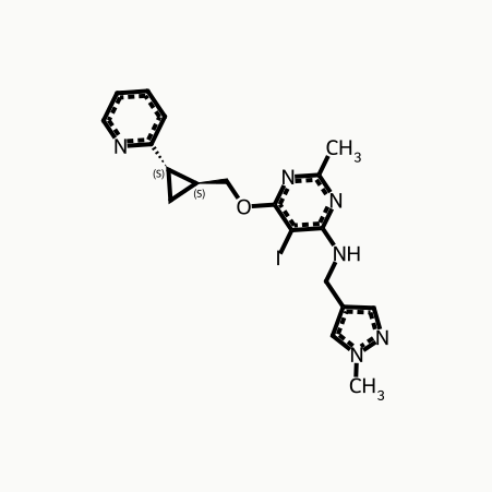 Cc1nc(NCc2cnn(C)c2)c(I)c(OC[C@H]2C[C@@H]2c2ccccn2)n1